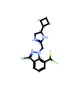 FC(F)c1cccc2c(Cl)nn(CC3=NCC(C4CCC4)N3)c12